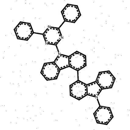 c1ccc(-c2nc(-c3ccccc3)nc(-n3c4ccccc4c4c(-c5cccc6c5c5ccccc5n6-c5ccccc5)cccc43)n2)cc1